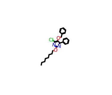 CCCCCCCCOc1nc(Cl)c(OCc2ccccc2)c(-c2ccccc2)n1